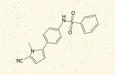 Cn1c(C#N)ccc1-c1ccc(NS(=O)(=O)c2ccccc2)cc1